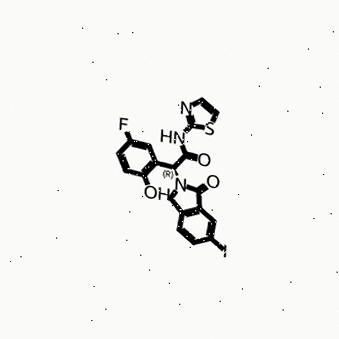 O=C(Nc1nccs1)[C@@H](c1cc(F)ccc1O)N1Cc2ccc(I)cc2C1=O